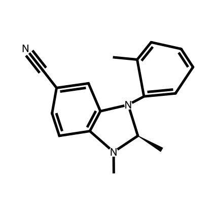 Cc1ccccc1N1c2cc(C#N)ccc2N(C)[C@@H]1C